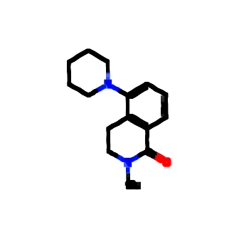 CC(C)(C)N1CCc2c(cccc2N2CCCCC2)C1=O